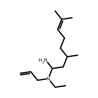 C=CCN(CC)C(N)CC(C)CCC=C(C)C